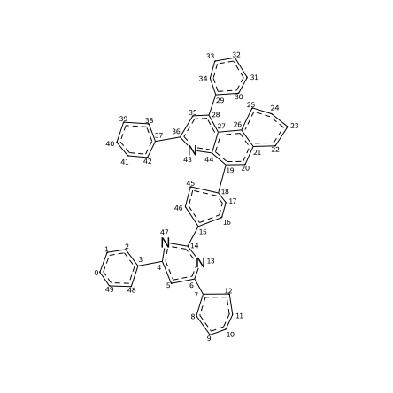 c1ccc(-c2cc(-c3ccccc3)nc(-c3ccc(-c4cc5ccccc5c5c(-c6ccccc6)cc(-c6ccccc6)nc45)cc3)n2)cc1